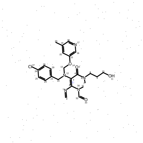 C=N/C(=C(/C(=O)N(C)CCCO)N(COc1cncc(C)c1)Cc1ccc(Cl)cc1)N(C)C=O